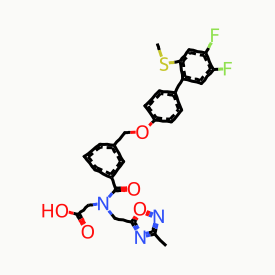 CSc1cc(F)c(F)cc1-c1ccc(OCc2cccc(C(=O)N(CC(=O)O)Cc3nc(C)no3)c2)cc1